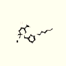 CC/C=C/CCOc1cccc(CN2C=C(C(N)=O)C=CC2(N)COC)c1F